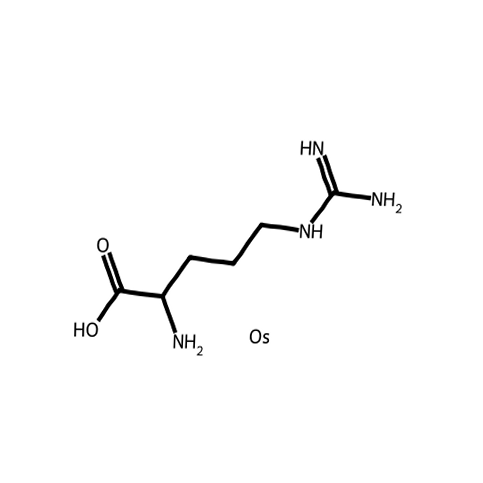 N=C(N)NCCCC(N)C(=O)O.[Os]